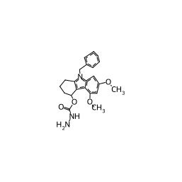 COc1cc(OC)c2c3c(n(Cc4ccccc4)c2c1)CCCC3OC(=O)NN